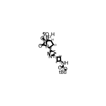 CC(C)(C)OC(=O)N[C@H]1C[C@H](c2nnc([C@@H]3CC[C@H]4CN3C(=O)N4OS(=O)(=O)O)s2)C1